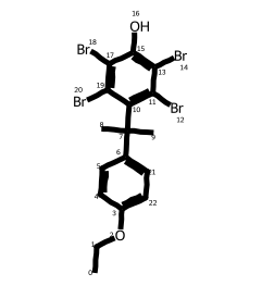 CCOc1ccc(C(C)(C)c2c(Br)c(Br)c(O)c(Br)c2Br)cc1